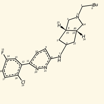 CCC(C)CN1C[C@H]2CC(Nc3ccc(-c4cc(F)ccc4Cl)nn3)C[C@H]2C1